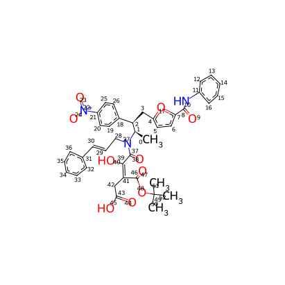 C[C@H]([C@H](Cc1ccc(C(=O)Nc2ccccc2)o1)c1ccc([N+](=O)[O-])cc1)N(CC=Cc1ccccc1)C(=O)C(O)=C(CC(=O)O)C(=O)OC(C)(C)C